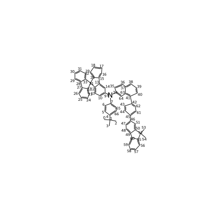 CC(C)(C)c1ccc(N(c2ccc3c(c2)-c2ccccc2C32c3ccccc3-c3ccccc32)c2ccc3cccc(-c4ccc(-c5ccc6c(c5)C(C)(C)c5ccccc5-6)cc4)c3c2)cc1